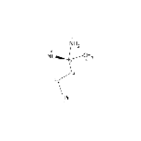 CC(C)CC[C@@](C)(N)C#N